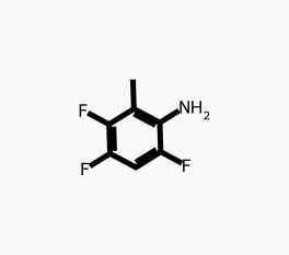 Cc1c(N)c(F)cc(F)c1F